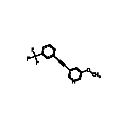 COc1cncc(C#Cc2cccc(C(F)(F)F)c2)c1